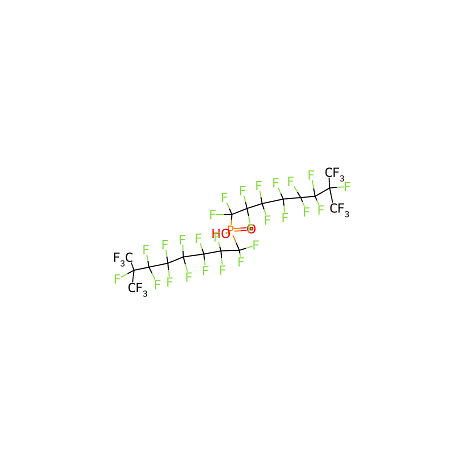 O=P(O)(C(F)(F)C(F)(F)C(F)(F)C(F)(F)C(F)(F)C(F)(F)C(F)(C(F)(F)F)C(F)(F)F)C(F)(F)C(F)(F)C(F)(F)C(F)(F)C(F)(F)C(F)(F)C(F)(C(F)(F)F)C(F)(F)F